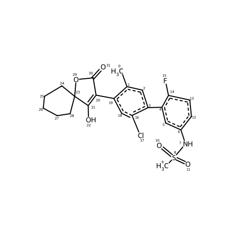 Cc1cc(-c2cc(NS(C)(=O)=O)ccc2F)c(Cl)cc1C1=C(O)C2(CCCCC2)OC1=O